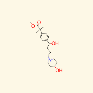 COC(=O)C(C)(C)c1ccc(C(O)CCCN2CCC(O)CC2)cc1